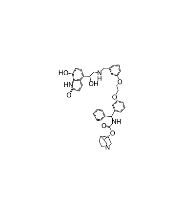 O=C(N[C@@H](c1ccccc1)c1cccc(OCCOc2cccc(CNCC(O)c3ccc(O)c4[nH]c(=O)ccc34)c2)c1)OC1CN2CCC1CC2